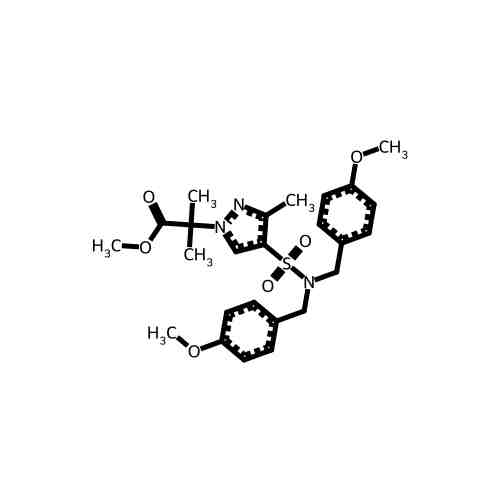 COC(=O)C(C)(C)n1cc(S(=O)(=O)N(Cc2ccc(OC)cc2)Cc2ccc(OC)cc2)c(C)n1